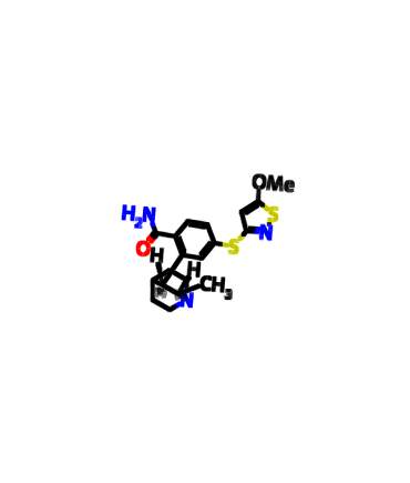 COc1cc(Sc2ccc(C(N)=O)c([C@H]3C4CCN(CC4)[C@H]3C)c2)ns1